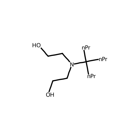 CCCC(CCC)(CCC)N(CCO)CCO